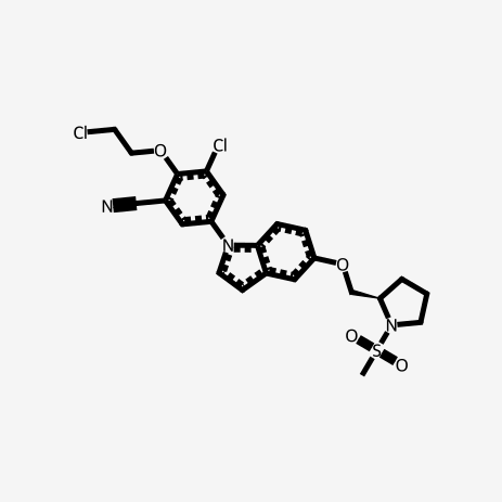 CS(=O)(=O)N1CCC[C@@H]1COc1ccc2c(ccn2-c2cc(Cl)c(OCCCl)c(C#N)c2)c1